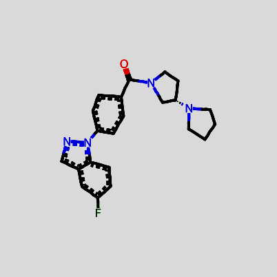 O=C(c1ccc(-n2ncc3cc(F)ccc32)cc1)N1CC[C@H](N2CCCC2)C1